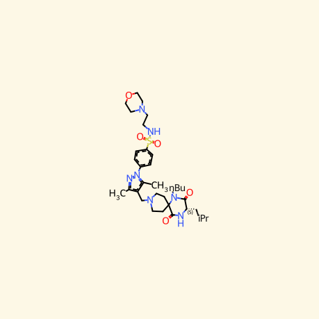 CCCCN1C(=O)[C@H](CC(C)C)NC(=O)C12CCN(Cc1c(C)nn(-c3ccc(S(=O)(=O)NCCN4CCOCC4)cc3)c1C)CC2